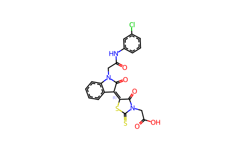 O=C(O)CN1C(=O)/C(=C2\C(=O)N(CC(=O)Nc3cccc(Cl)c3)c3ccccc32)SC1=S